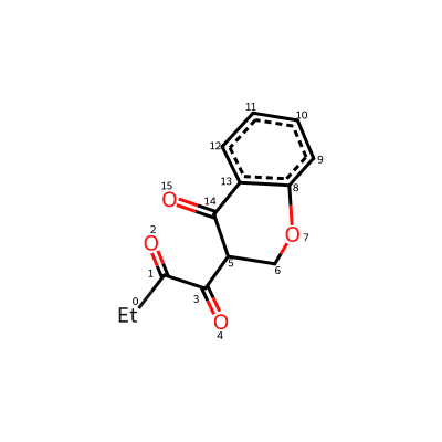 CCC(=O)C(=O)C1COc2ccccc2C1=O